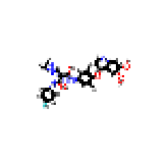 COc1cc2nccc(Oc3c(C)cc(NC(=O)/C(=C/NC(C)C)C(=O)Nc4ccc(F)cc4)cc3C)c2cc1OC